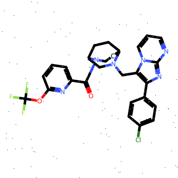 O=C(c1cccc(OC(F)(F)F)n1)N1CCC2CCC1CN2Cc1c(-c2ccc(Cl)cc2)nc2ncccn12